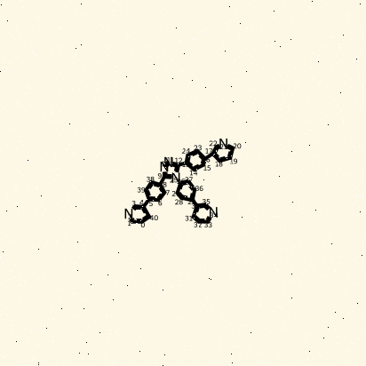 c1cncc(-c2ccc(-c3nnc(-c4ccc(-c5cccnc5)cc4)n3-c3ccc(-c4cccnc4)cc3)cc2)c1